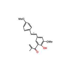 C=C(C)C(=O)c1cc(/C=C/c2ccc(OC)cc2)cc(OC)c1O